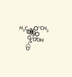 CCc1ccc(N(CC(C)C)S(=O)(=O)C2COC(SCC3CCOCC3)CC2c2ccccc2C(=O)O)cc1